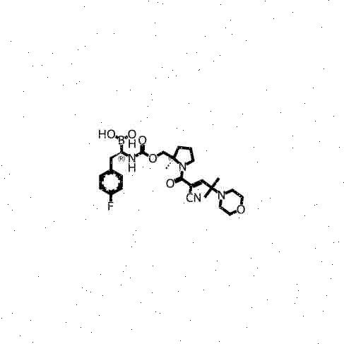 CC(C)(C=C(C#N)C(=O)N1CCC[C@]1(C)COC(=O)N[C@@H](Cc1ccc(F)cc1)B(O)O)N1CCOCC1